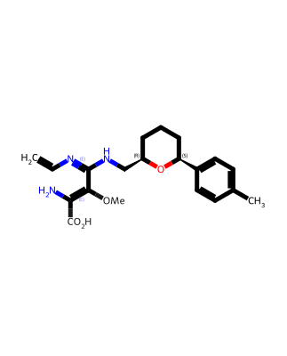 C=C/N=C(NC[C@H]1CCC[C@@H](c2ccc(C)cc2)O1)\C(OC)=C(/N)C(=O)O